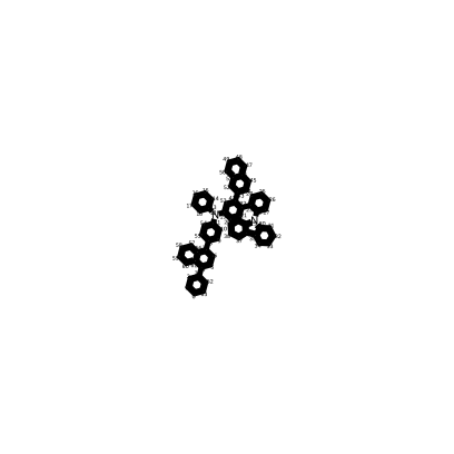 c1ccc(-c2ccc(-c3ccc(N(c4ccccc4)c4ccc(-c5ccccc5-n5c6ccccc6c6ccccc65)c(-c5ccc6ccccc6c5)c4)cc3)c3ccccc23)cc1